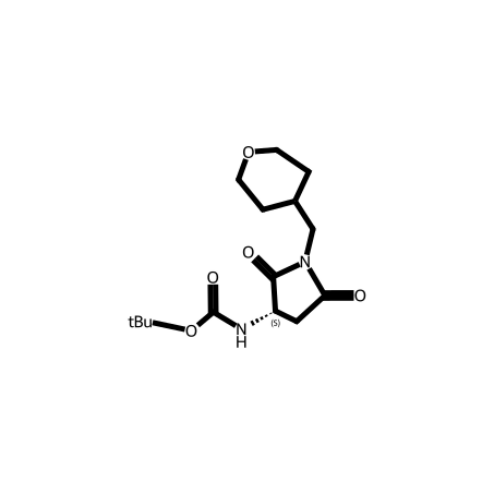 CC(C)(C)OC(=O)N[C@H]1CC(=O)N(CC2CCOCC2)C1=O